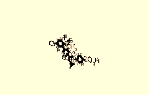 Cc1cc([C@H](CC2CC2)C(=O)Nc2ccc(C(=O)O)cc2)[n+]([O-])cc1-c1c(OC(F)F)ccc(Cl)c1F